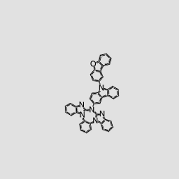 c1ccc2c(c1)nc1n(-c3ccc4c(c3)c3ccccc3n4-c3ccc4oc5ccccc5c4c3)c3nc4ccccc4n3c3ccccc3n21